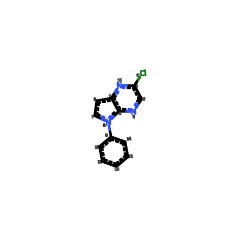 Clc1cnc2c(ccn2-c2ccccc2)n1